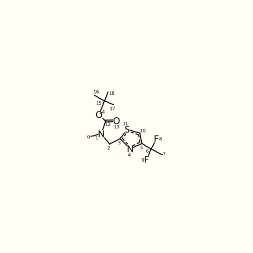 CN(Cc1nc(C(C)(F)F)cs1)C(=O)OC(C)(C)C